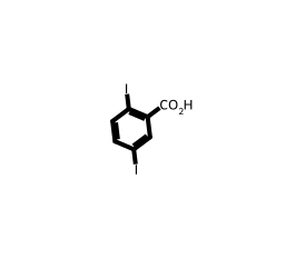 O=C(O)c1cc(I)ccc1I